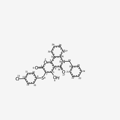 O=c1oc2c(c(O)c1Sc1ccc(Cl)cc1)c(=O)n(Cc1ccccc1)c1ncccc21